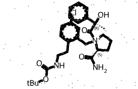 CC(C)(C)OC(=O)NCCc1ccc(Cl)cc1C[N+]1(C(=O)[C@](C)(O)c2ccccc2)CCC[C@H]1C(N)=O